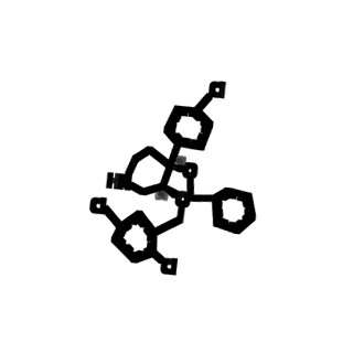 Clc1ccc([C@@]2(OCc3ccccc3)CCNC[C@@H]2OCc2cc(Cl)ccc2Cl)cc1